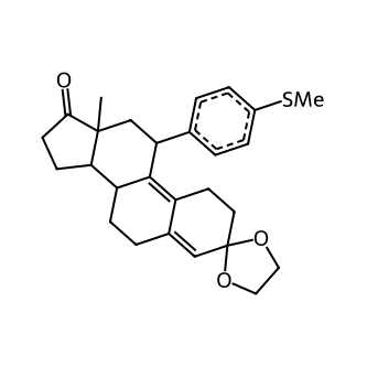 CSc1ccc(C2CC3(C)C(=O)CCC3C3CCC4=CC5(CCC4=C23)OCCO5)cc1